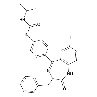 CC(C)NC(=O)Nc1ccc(C2=NC(Cc3ccccc3)C(=O)Nc3ccc(I)cc32)cc1